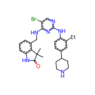 CCc1cc(C2CCNCC2)ccc1Nc1ncc(Br)c(NCc2cccc3c2C(C)(C)C(=O)N3)n1